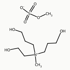 COS(=O)(=O)[O-].C[N+](CCO)(CCCO)CCCO